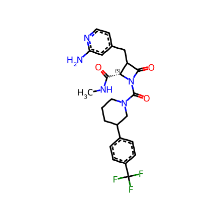 CNC(=O)[C@@H]1C(Cc2ccnc(N)c2)C(=O)N1C(=O)N1CCCC(c2ccc(C(F)(F)F)cc2)C1